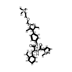 Cc1nn(COCCS(C)(C)C)c(C)c1-c1ccc(NC(=O)[C@@H](NC(=O)c2ccnn2C)[C@H]2CCc3ccccc32)cc1